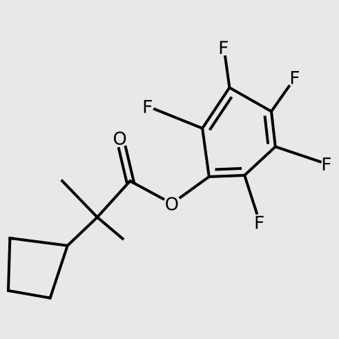 CC(C)(C(=O)Oc1c(F)c(F)c(F)c(F)c1F)C1CCC1